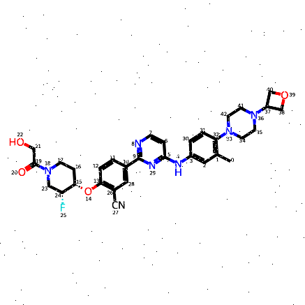 Cc1cc(Nc2ccnc(-c3ccc(O[C@H]4CCN(C(=O)CO)C[C@H]4F)c(C#N)c3)n2)ccc1N1CCN(C2COC2)CC1